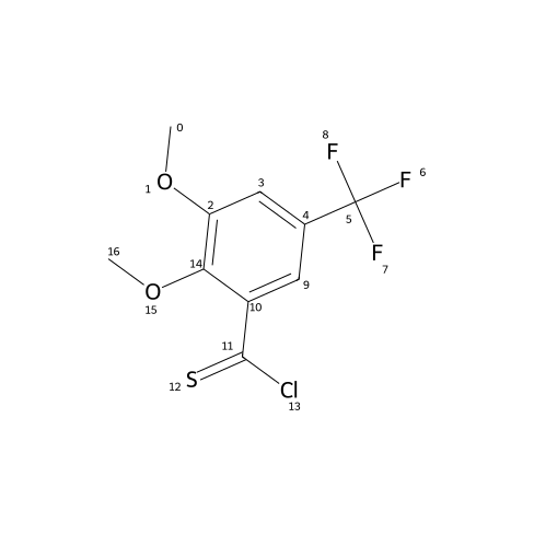 COc1cc(C(F)(F)F)cc(C(=S)Cl)c1OC